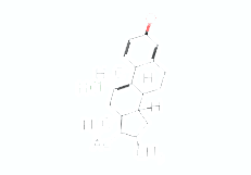 CC(=O)[C@H]1[C@H](C)C[C@H]2[C@@H]3CCC4=CC(=O)C=C[C@]4(C)C3=CC[C@@]21C.Cl